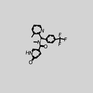 Cc1cccnc1[C@H](c1ccc(C(F)(F)F)cc1)N(C)C(=O)c1ccc(=O)[nH]c1